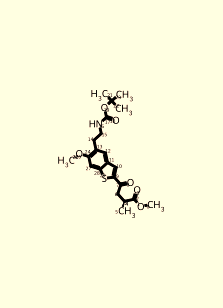 COC(=O)[C@@H](C)CC(=O)c1cc2cc(CCNC(=O)OC(C)(C)C)c(OC)cc2s1